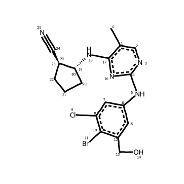 Cc1cnc(Nc2cc(Cl)c(Br)c(CO)c2)nc1N[C@@H]1CCC[C@H]1C#N